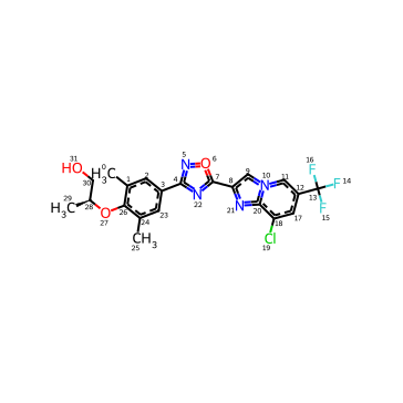 Cc1cc(-c2noc(-c3cn4cc(C(F)(F)F)cc(Cl)c4n3)n2)cc(C)c1O[C@@H](C)CO